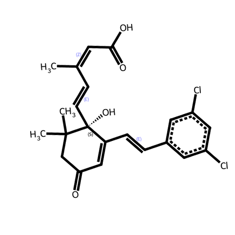 CC(=C/C(=O)O)/C=C/[C@@]1(O)C(/C=C/c2cc(Cl)cc(Cl)c2)=CC(=O)CC1(C)C